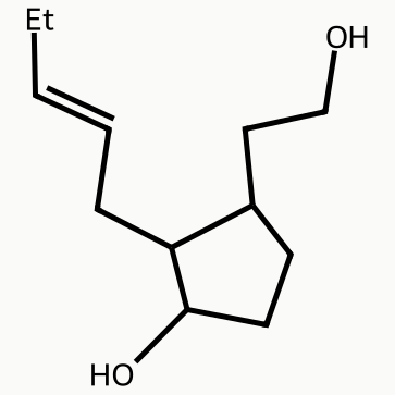 CCC=CCC1C(O)CCC1CCO